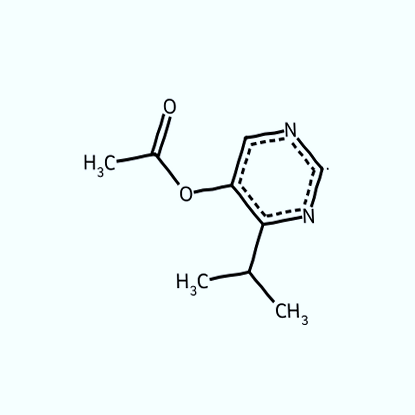 CC(=O)Oc1cn[c]nc1C(C)C